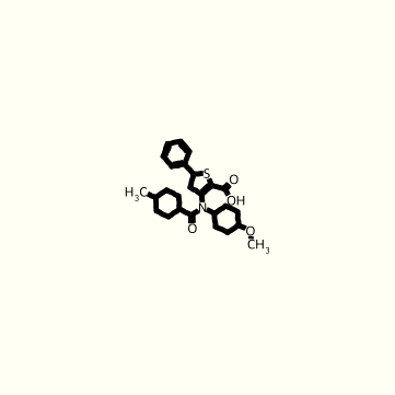 COC1CCC(N(C(=O)C2CCC(C)CC2)C2=C(C(=O)O)SC(c3ccccc3)C2)CC1